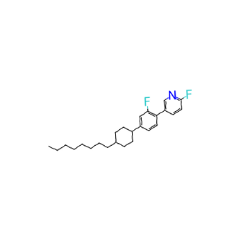 CCCCCCCCC1CCC(c2ccc(-c3ccc(F)nc3)c(F)c2)CC1